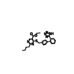 CCCCc1ncc(C(=O)OCC)c(SCc2ccc(-c3ccccc3-c3nnn[nH]3)cc2)n1